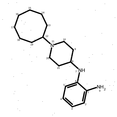 Nc1ccccc1NC1CCN(C2CCCCCCC2)CC1